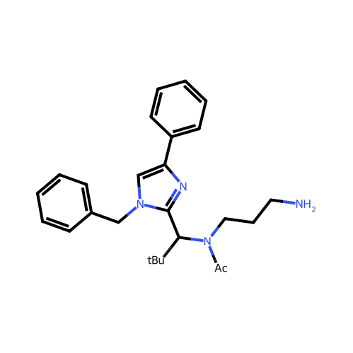 CC(=O)N(CCCN)C(c1nc(-c2ccccc2)cn1Cc1ccccc1)C(C)(C)C